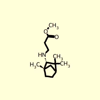 COC(=O)CCN[C@@H]1C(C)(C)C2CC[C@@]1(C)C2